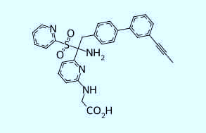 CC#Cc1cccc(-c2ccc(CC(N)(c3cccc(NCC(=O)O)n3)S(=O)(=O)c3ccccn3)cc2)c1